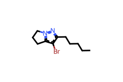 CCCCCc1nn2c(c1Br)CCC2